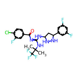 CC(C)(N/C(=N/C(=O)c1ccc(Cl)c(F)c1)NC1CC(c2cc(F)cc(F)c2)NN1)C(F)(F)F